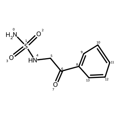 NS(=O)(=O)NCC(=O)c1ccccc1